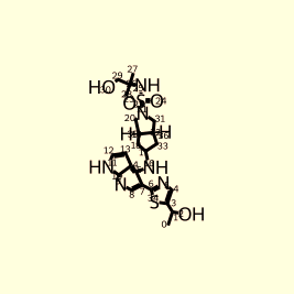 CC(O)c1cnc(-c2cnc3[nH]ccc3c2NC2C[C@@H]3CN(S(=O)(=O)NC(C)(C)CO)C[C@@H]3C2)s1